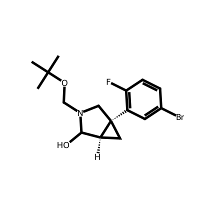 CC(C)(C)OCN1C[C@@]2(c3cc(Br)ccc3F)C[C@H]2C1O